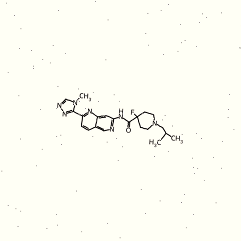 CC(C)CN1CCC(F)(C(=O)Nc2cc3nc(-c4nncn4C)ccc3cn2)CC1